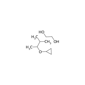 CC(C)C(C)OC1CC1.OCCO